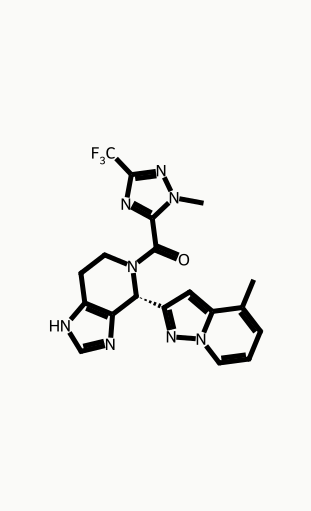 Cc1cccn2nc([C@@H]3c4nc[nH]c4CCN3C(=O)c3nc(C(F)(F)F)nn3C)cc12